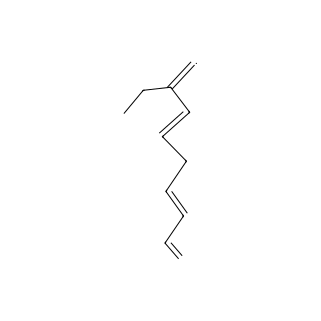 [CH]=C(C=CCC=CC=C)CC